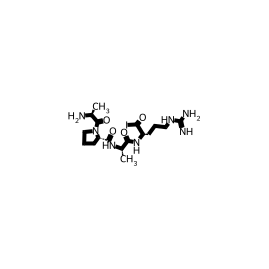 C[C@H](N)C(=O)N1CCC[C@H]1C(=O)N[C@@H](C)C(=O)N[C@@H](CCCNC(=N)N)C(=O)I